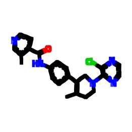 CC1=C(c2ccc(NC(=O)c3ccncc3C)cc2)CN(c2nccnc2Cl)CC1